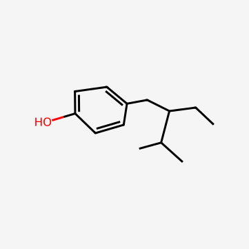 CCC(Cc1ccc(O)cc1)C(C)C